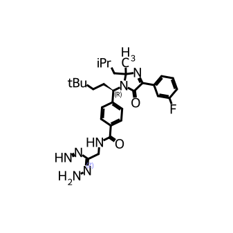 CC(C)CC1(C)N=C(c2cccc(F)c2)C(=O)N1[C@H](CCC(C)(C)C)c1ccc(C(=O)NC/C(N=N)=N/N)cc1